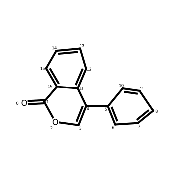 O=c1occ(-c2ccccc2)c2ccccc12